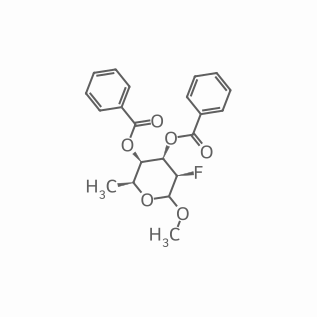 COC1O[C@@H](C)[C@@H](OC(=O)c2ccccc2)[C@@H](OC(=O)c2ccccc2)[C@H]1F